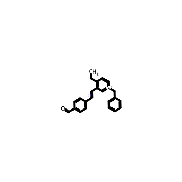 CCc1cc[n+](Cc2ccccc2)cc1/C=C/c1ccc(C=O)cc1